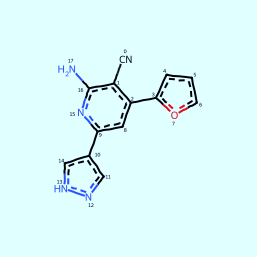 N#Cc1c(-c2ccco2)cc(-c2cn[nH]c2)nc1N